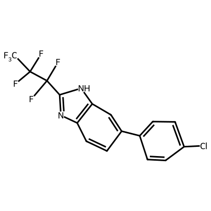 FC(F)(F)C(F)(F)C(F)(F)c1nc2ccc(-c3ccc(Cl)cc3)cc2[nH]1